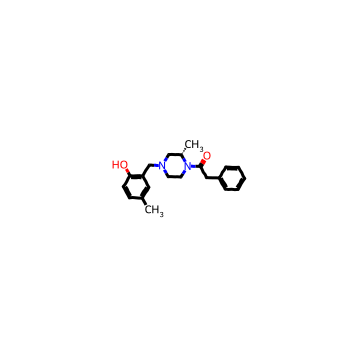 Cc1ccc(O)c(CN2CCN(C(=O)Cc3ccccc3)[C@@H](C)C2)c1